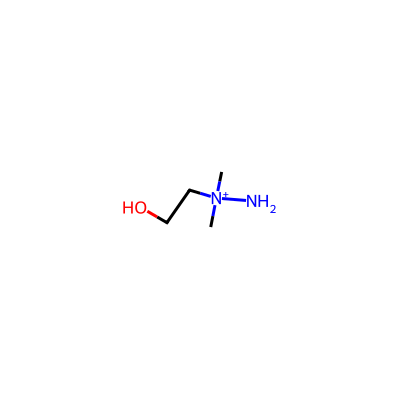 C[N+](C)(N)CCO